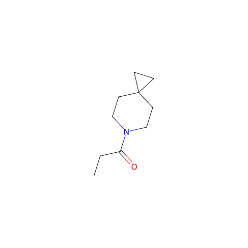 CCC(=O)N1CCC2(CC1)CC2